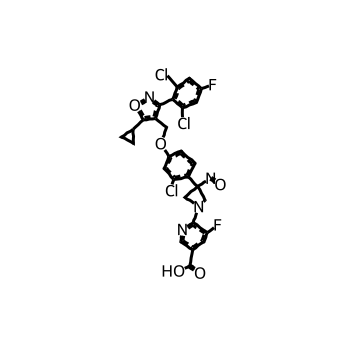 O=NC1(c2ccc(OCc3c(-c4c(Cl)cc(F)cc4Cl)noc3C3CC3)cc2Cl)CN(c2ncc(C(=O)O)cc2F)C1